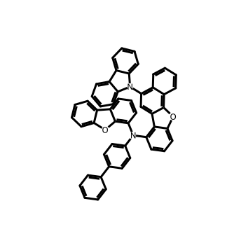 c1ccc(-c2ccc(N(c3cccc4c3oc3ccccc34)c3cccc4oc5c6ccccc6c(-n6c7ccccc7c7ccccc76)cc5c34)cc2)cc1